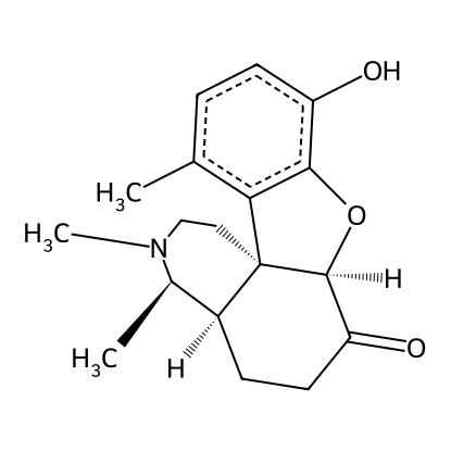 Cc1ccc(O)c2c1[C@]13CCN(C)[C@H](C)[C@@H]1CCC(=O)[C@@H]3O2